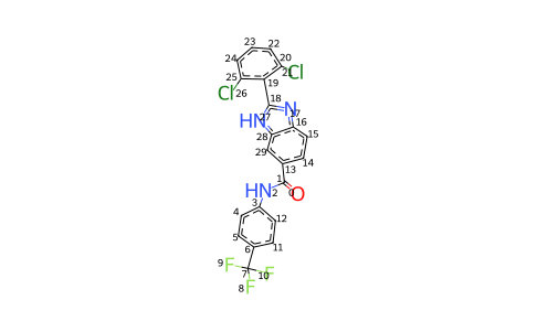 O=C(Nc1ccc(C(F)(F)F)cc1)c1ccc2nc(-c3c(Cl)cccc3Cl)[nH]c2c1